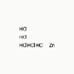 Cl.Cl.Cl.Cl.Cl.[Zn]